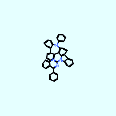 c1ccc(-c2nc(-n3c4ccccc4c4ccc5c(c43)-c3ccccc3-c3ccccc3N5c3ccccc3)nc3ccccc23)cc1